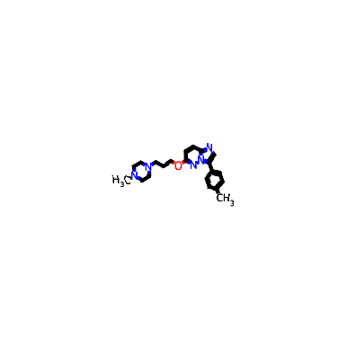 Cc1ccc(-c2cnc3ccc(OCCCN4CCN(C)CC4)nn23)cc1